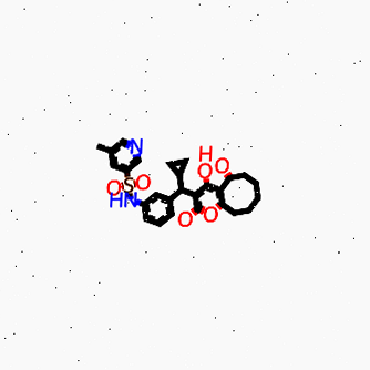 Cc1cncc(S(=O)(=O)Nc2cccc(C(c3c(O)c4c(oc3=O)CCCCCC4=O)C3CC3)c2)c1